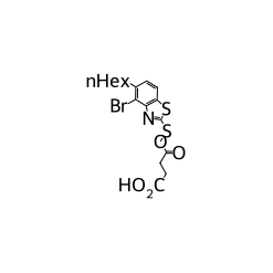 CCCCCCc1ccc2sc(SOC(=O)CCC(=O)O)nc2c1Br